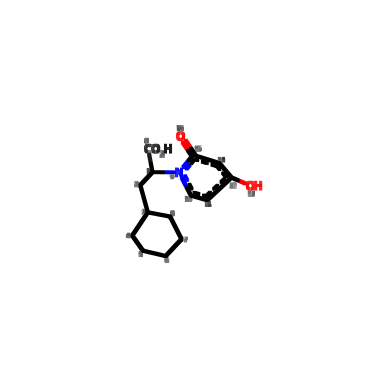 O=C(O)C(CC1CCCCC1)n1ccc(O)cc1=O